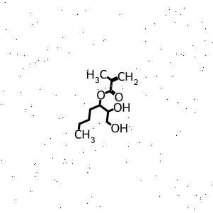 C=C(C)C(=O)OC(CCCC)C(O)CO